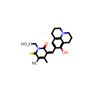 CC1=C(C#N)C(=S)N(CC(=O)O)C(=O)/C1=C\c1cc2c3c(c1O)CCCN3CCC2